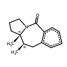 C[C@@H]1Cc2ccccc2C(=O)N2CCC[C@@]12C